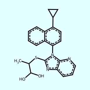 CC(Sc1nc2cccnc2n1-c1ccc(C2CC2)c2ccccc12)C(O)O